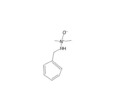 C[N+](C)([O-])NCc1ccccc1